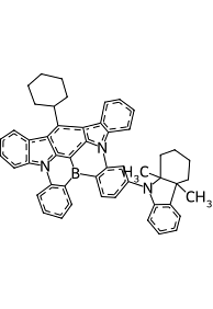 CC12CCCCC1(C)N(c1ccc3c(c1)-n1c4ccccc4c4c(C5CCCCC5)c5c6ccccc6n6c5c(c41)B3c1ccccc1-6)c1ccccc12